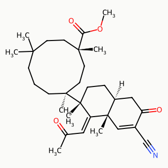 COC(=O)[C@@]1(C)CCC(C)(C)CCC[C@](C)([C@]2(C)CC[C@H]3CC(=O)C(C#N)=C[C@]3(C)/C2=C/C(C)=O)CC1